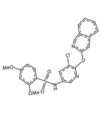 COc1ccc(S(=O)(=O)Nc2cnc(Oc3cc4ccccc4cn3)c(Cl)c2)c(OC)c1